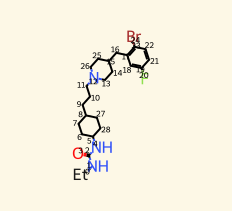 CCNC(=O)NC1CCC(CCCN2CCC(Cc3cc(F)ccc3Br)CC2)CC1